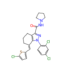 O=C(NN1CCCC1)c1nn(-c2ccc(Cl)cc2Cl)c2c1CCC/C2=C\c1ccc(Cl)s1